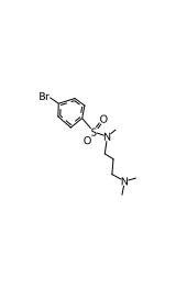 CN(C)CCCN(C)S(=O)(=O)c1ccc(Br)cc1